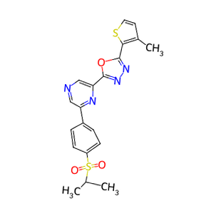 Cc1ccsc1-c1nnc(-c2cncc(-c3ccc(S(=O)(=O)C(C)C)cc3)n2)o1